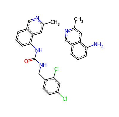 Cc1cc2c(N)cccc2cn1.Cc1cc2c(NC(=O)NCc3ccc(Cl)cc3Cl)cccc2cn1